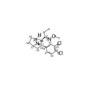 CCC(=NOC)[C@H]1[C@@H](c2ccc(Cl)c(Cl)c2)CC2CC[C@@H]1N2C